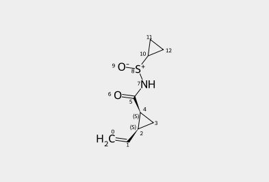 C=C[C@@H]1C[C@@H]1C(=O)N[S+]([O-])C1CC1